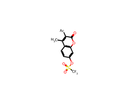 CC(=O)c1c(C)c2ccc(OS(=O)(=O)C(F)(F)F)cc2oc1=O